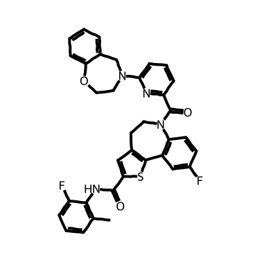 Cc1cccc(F)c1NC(=O)c1cc2c(s1)-c1cc(F)ccc1N(C(=O)c1cccc(N3CCOc4ccccc4C3)n1)CC2